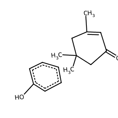 CC1=CC(=O)CC(C)(C)C1.Oc1ccccc1